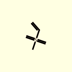 C=CS(=C)(=C)C